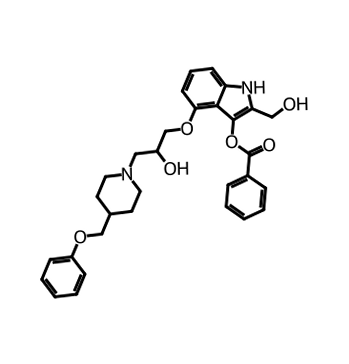 O=C(Oc1c(CO)[nH]c2cccc(OCC(O)CN3CCC(COc4ccccc4)CC3)c12)c1ccccc1